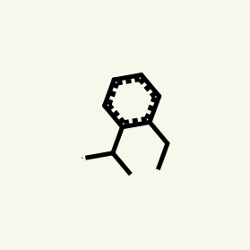 [CH2]C(C)c1ccccc1CC